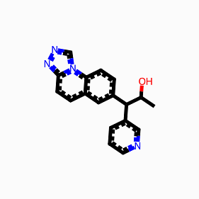 CC(O)C(c1cccnc1)c1ccc2c(ccc3nncn32)c1